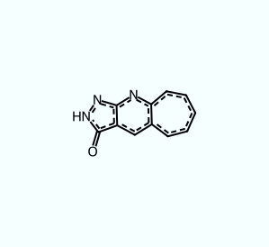 O=c1[nH]nc2nc3cccccc3cc12